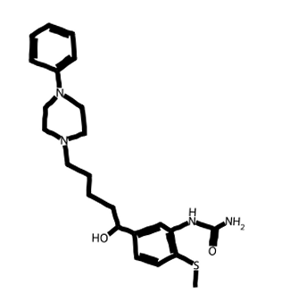 CSc1ccc(C(O)CCCCN2CCN(c3ccccc3)CC2)cc1NC(N)=O